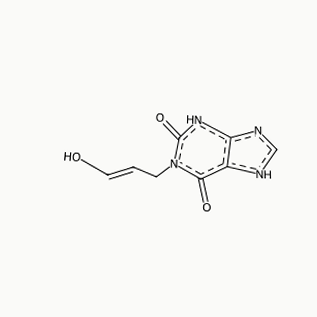 O=c1[nH]c2nc[nH]c2c(=O)n1CC=CO